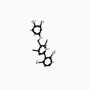 CCc1cc(OCc2c(C)cc(-c3c(CC)cccc3CC)nc2C)ccc1Cl